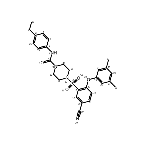 CCc1ccc(NC(=O)N2CCN(S(=O)(=O)c3cc(C#N)ccc3Oc3cc(C)cc(C)c3)CC2)cc1